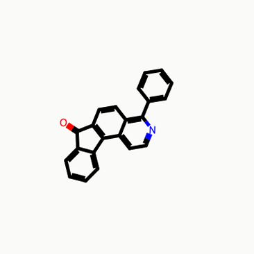 O=C1c2ccccc2-c2c1ccc1c(-c3ccccc3)nccc21